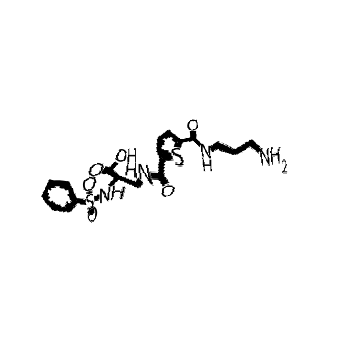 NCCCNC(=O)c1ccc(C(=O)NCC(NS(=O)(=O)c2ccccc2)C(=O)O)s1